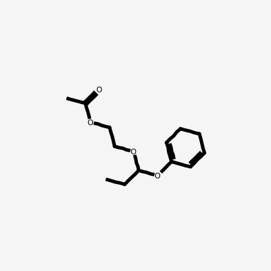 CCC(OCCOC(C)=O)OC1=CCCC=C1